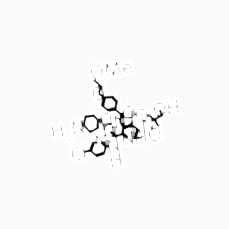 COCCOc1ccc(C(=O)Nc2cccnc2C(=O)Nc2ccc(Cl)cn2)c(OC2CCC(N)CC2)c1.NC(CO)(CO)CO